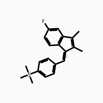 CC1=C(C)c2cc(F)ccc2/C1=C\c1ccc(S(C)(C)C)cc1